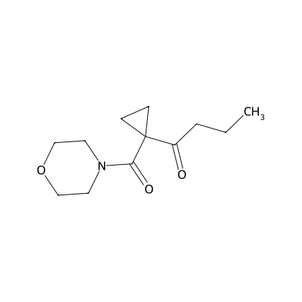 CCCC(=O)C1(C(=O)N2CCOCC2)CC1